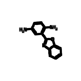 Nc1ccc(N)c(-c2nc3ccccc3o2)c1